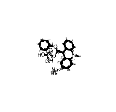 CN1c2ccccc2C(=C(Oc2ccccc2)OP(=O)(O)O)c2ccccc21.[Na].[Na]